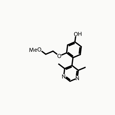 COCCOc1cc(O)ccc1-c1c(C)ncnc1C